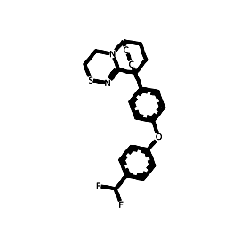 FC(F)c1ccc(Oc2ccc(C34CCC(CC3)N3CCSN=C34)cc2)cc1